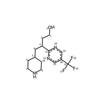 OCCC(CC1CCNCC1)c1ncc(C(F)(F)F)cn1